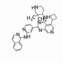 CC1(C)CNCCC1Nc1nc(-c2ccnc(Nc3nccc4ccccc34)c2)nc2cncc(C3CCC3)c12